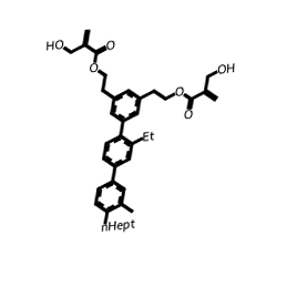 C=C(CO)C(=O)OCCc1cc(CCOC(=O)C(=C)CO)cc(-c2ccc(-c3ccc(CCCCCCC)c(C)c3)cc2CC)c1